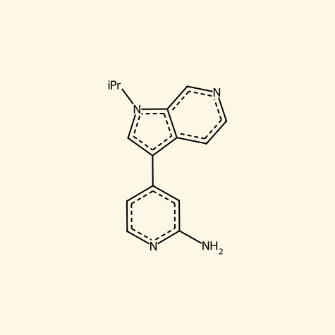 CC(C)n1cc(-c2ccnc(N)c2)c2ccncc21